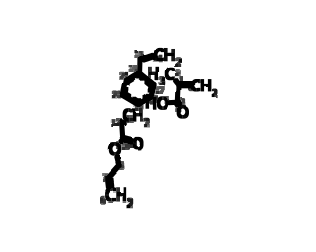 C=C(C)C(=O)O.C=CCOC(=O)C=C.C=Cc1ccccc1